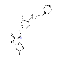 O=C1Nc2cc(F)ccc2/C1=C/Nc1ccc(NCCCN2CCOCC2)c(F)c1